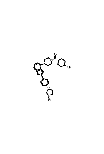 CC(C)N1CC[C@@H](c2ccc(-c3cc4c(N5CCN(C(=O)[C@H]6CC[C@H](C#N)CC6)CC5)ccnn4c3)nc2)C1